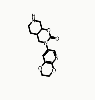 O=C1OC2CNCCC2CN1c1cnc2c(c1)OCCO2